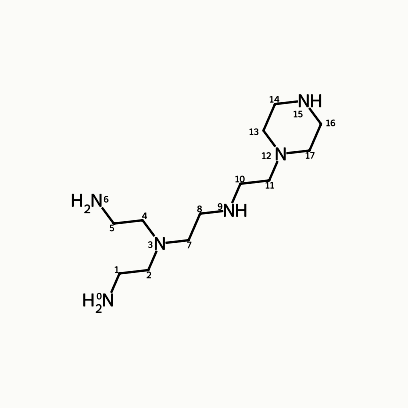 NCCN(CCN)CCNCCN1CCNCC1